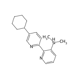 C[SiH](C)c1cccnc1-c1ccc(C2CCCCC2)cn1